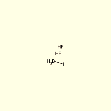 BI.F.F